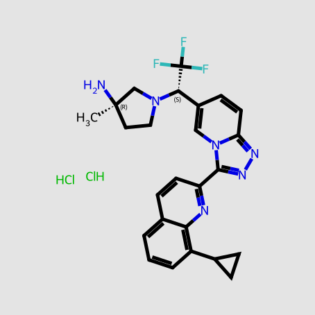 C[C@@]1(N)CCN([C@@H](c2ccc3nnc(-c4ccc5cccc(C6CC6)c5n4)n3c2)C(F)(F)F)C1.Cl.Cl